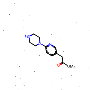 COC(=O)Cc1ccc(N2CCNCC2)nc1